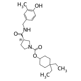 CCC1(CC)CCC(OC(=O)N2CC[C@@H](C(=O)NCc3ccc(O)c(C)c3)C2)CC1